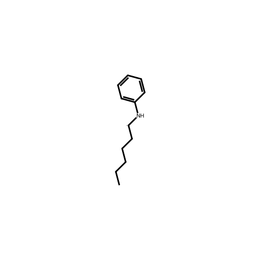 CCCCC[CH]Nc1ccccc1